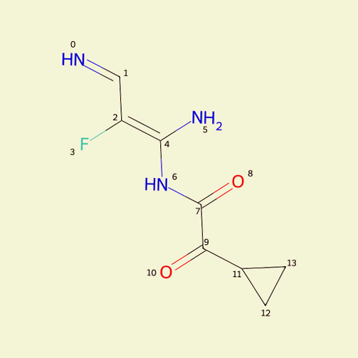 N=C/C(F)=C(\N)NC(=O)C(=O)C1CC1